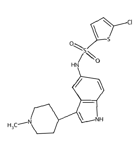 CN1CCC(c2c[nH]c3ccc(NS(=O)(=O)c4ccc(Cl)s4)cc23)CC1